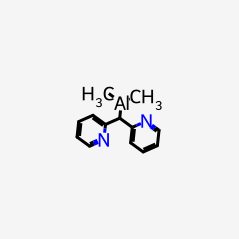 [CH3][Al]([CH3])[CH](c1ccccn1)c1ccccn1